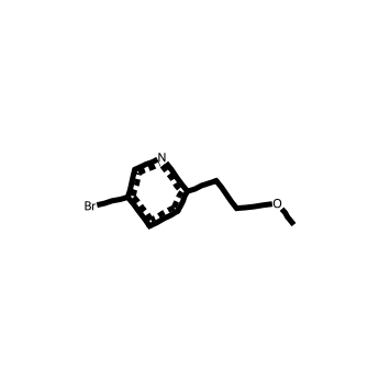 COCCc1ccc(Br)cn1